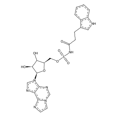 O=C(CCc1c[nH]c2ccccc12)NS(=O)(=O)OC[C@H]1O[C@@H](n2cnc3c2ncn2ccnc32)[C@@H](O)C1O